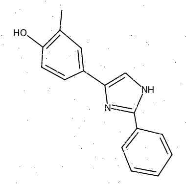 Cc1cc(-c2c[nH]c(-c3ccccc3)n2)ccc1O